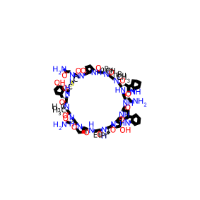 CCCC[C@H]1C(=O)N(C)[C@@H](CCCC)C(=O)NC2(CCCC2)C(=O)N[C@H](C(=O)NCC(N)=O)CSCC(=O)N[C@@H](Cc2ccc(O)cc2)C(=O)N(C)[C@@H](C)C(=O)N[C@@H](CC(N)=O)C(=O)N2CCC[C@H]2C(=O)N[C@@H](CC)C(=O)N[C@@H](CC(C)C)C(=O)N2C[C@H](O)C[C@H]2C(=O)NC(Cc2c[nH]c3ccccc23)C(=O)N[C@@H](CCN)C(=O)N[C@@H](Cc2c[nH]c3ccccc23)C(=O)N1C